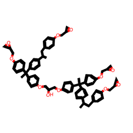 CC(Cc1ccc(OCC2CO2)cc1)c1ccc(C(C)(c2ccc(OCC(O)COc3ccc(C(C)(c4ccc(OCC5CO5)cc4)c4ccc(C(C)Cc5ccc(OCC6CO6)cc5)cc4)cc3)cc2)c2ccc(OCC3CO3)cc2)cc1